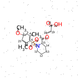 COc1cc(C)c(S(=O)(=O)N2CCCCC2COC=CC(=O)O)c(C)c1